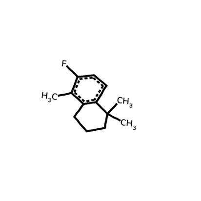 Cc1c(F)ccc2c1CCCC2(C)C